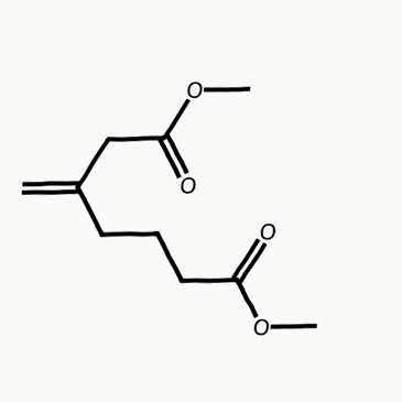 C=C(CCCC(=O)OC)CC(=O)OC